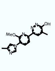 COc1nc(-c2cc(C)c(O)nn2)ccc1-n1cnc(C)c1